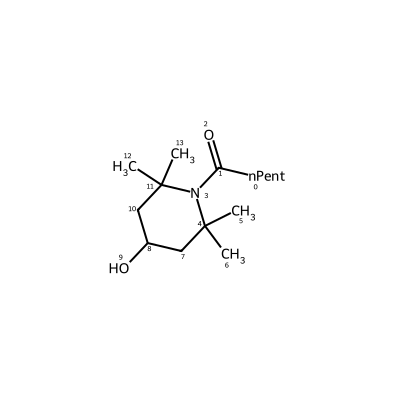 CCCCCC(=O)N1C(C)(C)CC(O)CC1(C)C